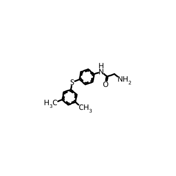 Cc1cc(C)cc(Sc2ccc(NC(=O)CN)cc2)c1